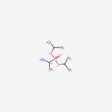 CC(C)OP(=O)(OC(C)C)C(C)N